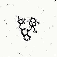 Cc1cc(Nc2cc3ncccc3c(C[C@@H]3C[C@H]4CC[C@@H](C3)N4CCC#N)n2)n[nH]1